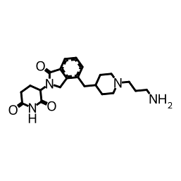 NCCCN1CCC(Cc2cccc3c2CN(C2CCC(=O)NC2=O)C3=O)CC1